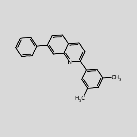 Cc1cc(C)cc(-c2ccc3ccc(-c4ccccc4)cc3n2)c1